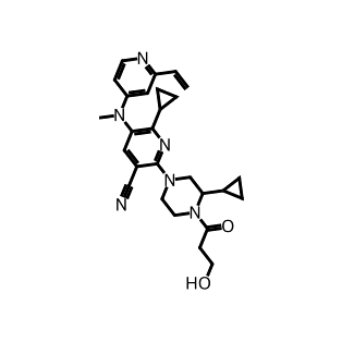 C=Cc1cc(N(C)c2cc(C#N)c(N3CCN(C(=O)CCO)C(C4CC4)C3)nc2C2CC2)ccn1